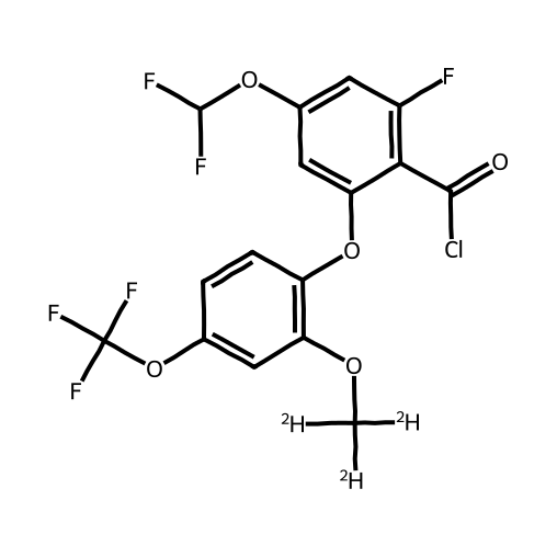 [2H]C([2H])([2H])Oc1cc(OC(F)(F)F)ccc1Oc1cc(OC(F)F)cc(F)c1C(=O)Cl